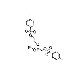 CCO[C@H](COS(=O)(=O)c1ccc(C)cc1)OCCOS(=O)(=O)c1ccc(C)cc1